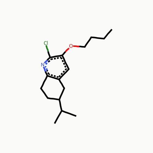 CCCCOc1cc2c(nc1Cl)CCC(C(C)C)C2